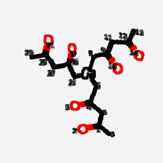 CC(=O)CC(=O)[CH2][Ga]([CH2]C(=O)CC(C)=O)[CH2]C(=O)CC(C)=O